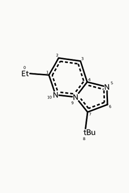 CCc1ccc2ncc(C(C)(C)C)n2n1